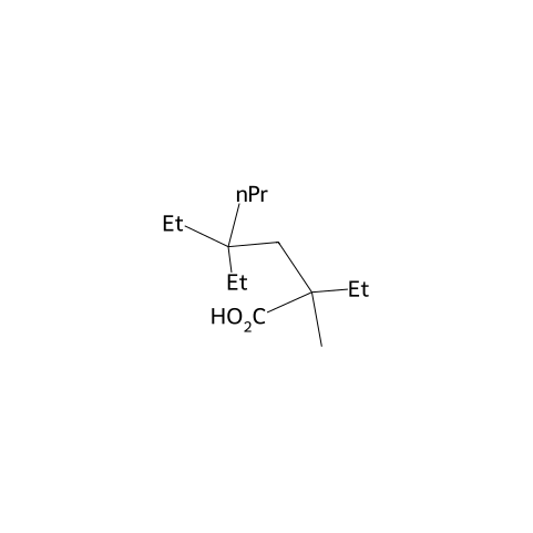 CCCC(CC)(CC)CC(C)(CC)C(=O)O